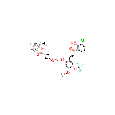 COc1cc(OCCOC2CC(C(=O)OC(C)(C)C)C2)c(C=CC(=O)c2cccc(Cl)c2O)cc1OC(F)(F)F